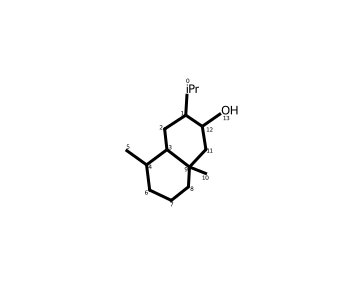 CC(C)C1CC2C(C)CCCC2(C)CC1O